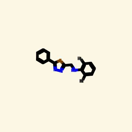 CCc1cccc(CC)c1NCc1nnc(-c2ccccc2)s1